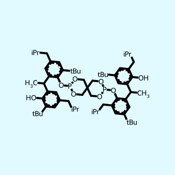 CC(C)Cc1cc(C(C)c2cc(CC(C)C)cc(C(C)(C)C)c2OP2OCC3(COP(Oc4c(CC(C)C)cc(C(C)(C)C)cc4C(C)c4cc(C(C)(C)C)cc(CC(C)C)c4O)OC3)CO2)c(O)c(C(C)(C)C)c1